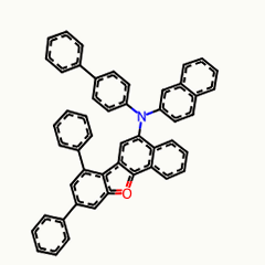 c1ccc(-c2ccc(N(c3ccc4ccccc4c3)c3cc4c(oc5cc(-c6ccccc6)cc(-c6ccccc6)c54)c4ccccc34)cc2)cc1